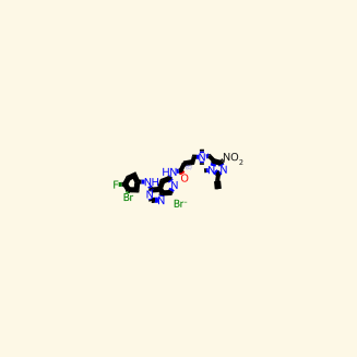 C#Cc1nc([N+](=O)[O-])c(C[N+](C)(C)C/C=C/C(=O)Nc2cc3c(Nc4ccc(F)c(Br)c4)ncnc3cn2)n1C.[Br-]